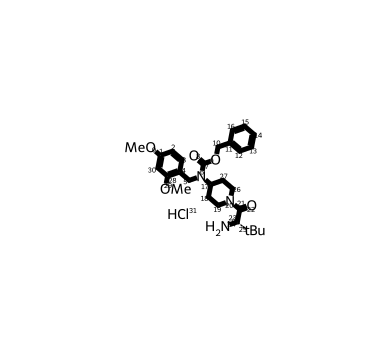 COc1ccc(CN(C(=O)OCc2ccccc2)C2CCN(C(=O)[C@@H](N)C(C)(C)C)CC2)c(OC)c1.Cl